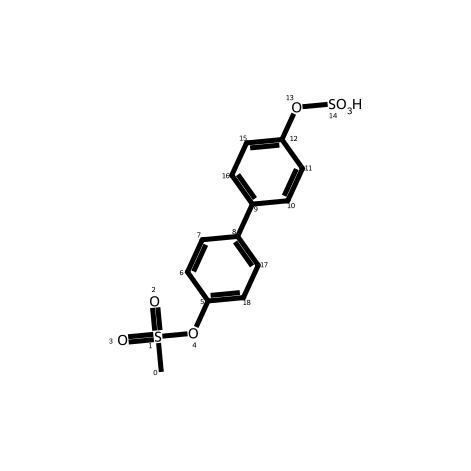 CS(=O)(=O)Oc1ccc(-c2ccc(OS(=O)(=O)O)cc2)cc1